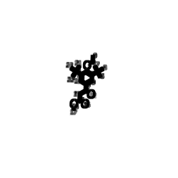 CCOc1c(C(C)(C)C)cc(C(=O)CC(=O)OC)cc1C(C)(C)C